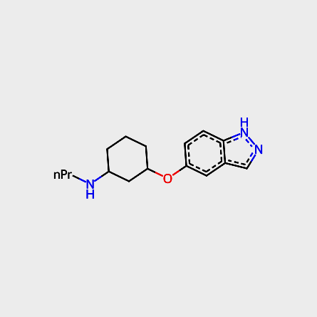 CCCNC1CCCC(Oc2ccc3[nH]ncc3c2)C1